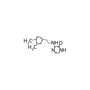 Cc1ccc(CCNc2ncc[nH]c2=O)cc1C